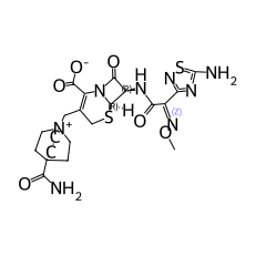 CO/N=C(\C(=O)N[C@@H]1C(=O)N2C(C(=O)[O-])=C(C[N+]34CCC(C(N)=O)(CC3)CC4)CS[C@H]12)c1nsc(N)n1